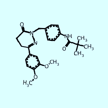 COc1ccc(C2=NN(Cc3ccc(NC(=O)C(C)(C)C)cc3)C(=O)CC2)cc1OC